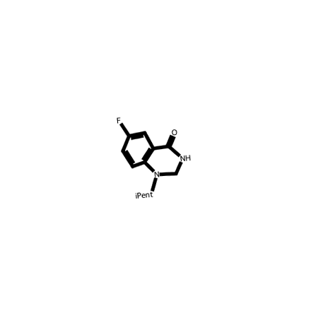 CCCC(C)N1CNC(=O)c2cc(F)ccc21